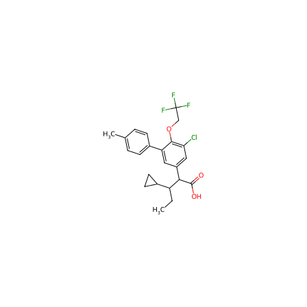 CCC(C1CC1)C(C(=O)O)c1cc(Cl)c(OCC(F)(F)F)c(-c2ccc(C)cc2)c1